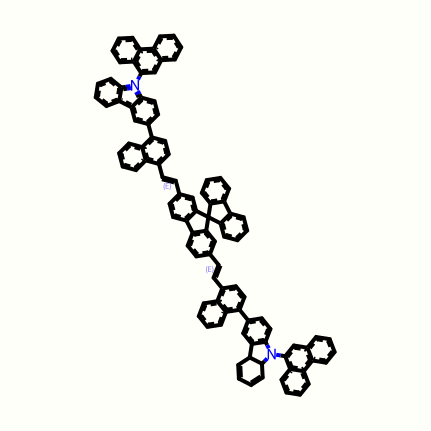 C1=CC2c3cc(-c4ccc(/C=C/c5ccc6c(c5)C5(c7ccccc7-c7ccccc75)c5cc(/C=C/c7ccc(-c8ccc9c(c8)c8ccccc8n9-c8cc9ccccc9c9ccccc89)c8ccccc78)ccc5-6)c5ccccc45)ccc3N(c3cc4ccccc4c4ccccc34)C2C=C1